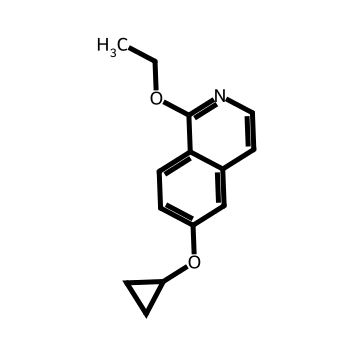 CCOc1nccc2cc(OC3CC3)ccc12